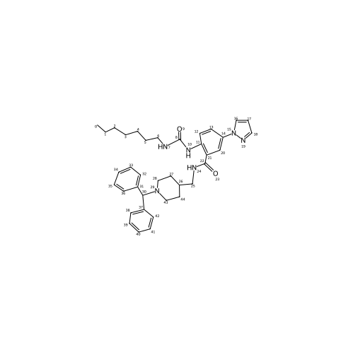 CCCCCCCNC(=O)Nc1ccc(-n2cccn2)cc1C(=O)NCC1CCN(C(c2ccccc2)c2ccccc2)CC1